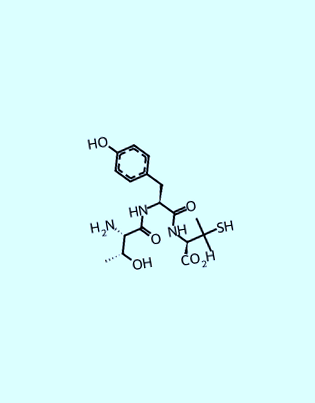 C[C@@H](O)[C@H](N)C(=O)N[C@@H](Cc1ccc(O)cc1)C(=O)N[C@H](C(=O)O)C(C)(C)S